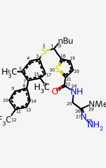 CCCCC(Sc1cc(C)c(-c2ccc(C(F)(F)F)cc2)c(C)c1)c1ccc(C(=O)NC/C(=N/N)NC)s1